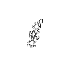 O=c1c2sc3nc(Cl)ccc3c2ncn1-c1ccccc1